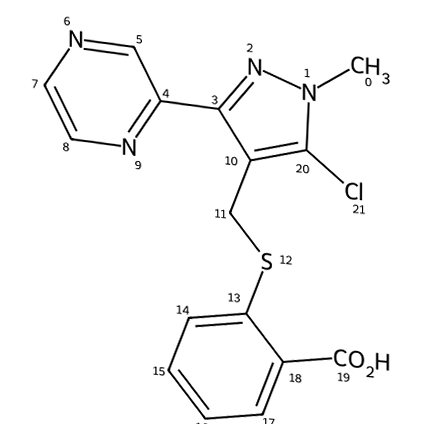 Cn1nc(-c2cnccn2)c(CSc2ccccc2C(=O)O)c1Cl